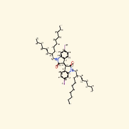 CCCCCCCCC(CCCCCC)CN1C(=O)C(=C2C(=O)N(CC(CCCCCC)CCCCCCCC)c3cc(I)ccc32)c2ccc(I)cc21